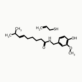 C=CCS.COc1cc(CNC(=O)CCCCC=CC(C)C)ccc1O